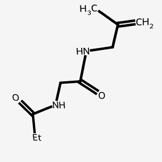 C=C(C)CNC(=O)CNC(=O)CC